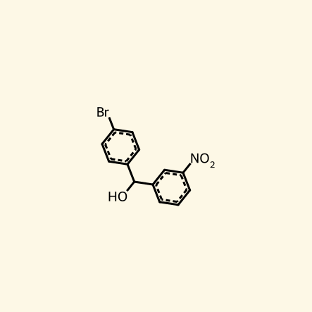 O=[N+]([O-])c1cccc(C(O)c2ccc(Br)cc2)c1